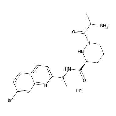 CC(N)C(=O)N1CCC[C@@H](C(=O)NN(C)c2ccc3ccc(Br)cc3n2)N1.Cl